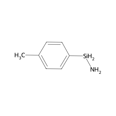 Cc1ccc([SiH2]N)cc1